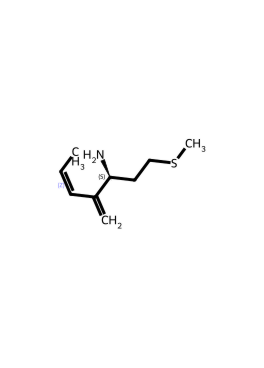 C=C(/C=C\C)[C@@H](N)CCSC